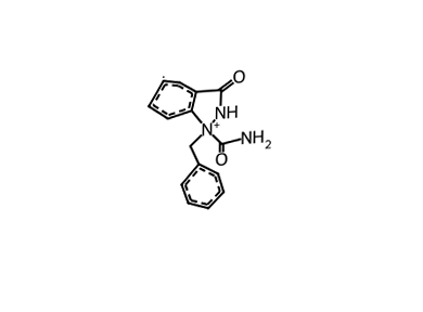 NC(=O)[N+]1(Cc2ccccc2)NC(=O)c2c[c]ccc21